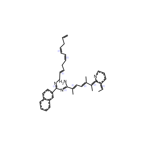 C=CC/C=C\C=C/C/C=C/C\N=C(/N=C(N)/C(C)=C/C=C(C)/C(C)=c1\nccc\c1=C\C)c1ccc2ccccc2c1